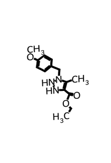 CCOC(=O)C1=C(C)N(Cc2ccc(OC)cc2)NN1